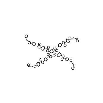 O=C(Oc1ccc(C(=O)Oc2cc(OC(=O)c3ccc(OC(=O)c4ccc(OCCC5CO5)cc4)cc3)c(OC(=O)c3ccc(OC(=O)c4ccc(OCCC5CO5)cc4)cc3)cc2OC(=O)c2ccc(OC(=O)c3ccc(OCCC4CO4)cc3)cc2)cc1)c1ccc(OCCC2CO2)cc1